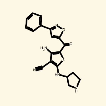 N#Cc1c(NC2CCNC2)sc(C(=O)c2cc(-c3ccccc3)no2)c1N